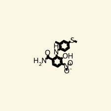 CSc1ccc(Nc2c(C(N)=O)ccc([N+](=O)[O-])c2O)c(C)c1